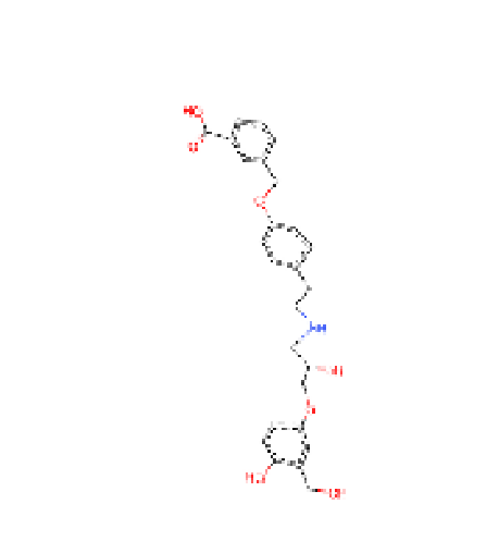 O=C(O)c1cccc(COc2ccc(CCNC[C@H](O)COc3ccc(O)c(CO)c3)cc2)c1